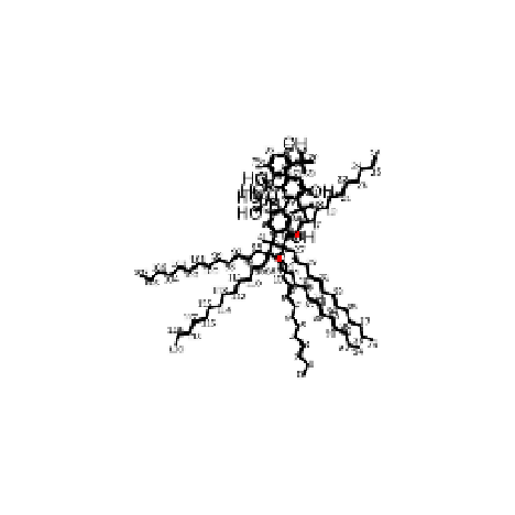 CCCCCCCCCCCCCC(CCCCCCCCCCCCC)(CCCCCCCCCCCCC)C(C)(c1cc([PH](O)(O)OP(O)(O)(c2cc(C(C)(C)C)c(O)cc2C)c2cc(C(C)(C)C)c(O)cc2C)c(C)cc1O)C(CCCCCCCCCCCCC)(CCCCCCCCCCCCC)CCCCCCCCCCCCC